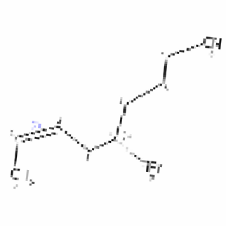 C/C=C\C[C@H](CCCC#N)C(C)C